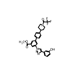 COC(=O)c1cc(-c2ccc(C3CCN(C(=O)C(F)(F)F)CC3)cc2)cc(-n2cc(-c3cccc(O)c3)nn2)c1